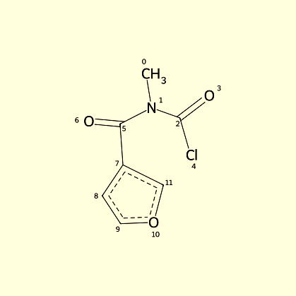 CN(C(=O)Cl)C(=O)c1ccoc1